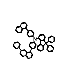 c1ccc(-c2ccc3cccc(-c4ccc(N(c5ccc(-c6cccc7ccccc67)cc5)c5cccc6c5-c5ccccc5C6(c5ccccc5)c5ccccc5)cc4)c3c2)cc1